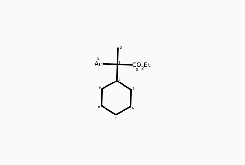 CCOC(=O)C(C)(C(C)=O)C1CCCCC1